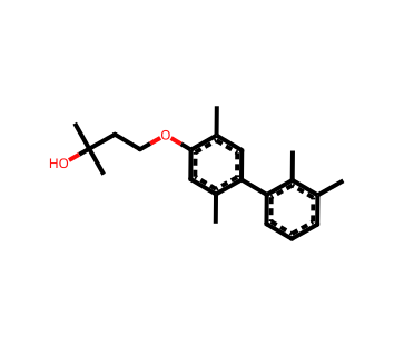 Cc1cc(-c2cccc(C)c2C)c(C)cc1OCCC(C)(C)O